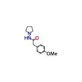 COc1ccc(CC(=O)NN2CCCC2)cc1